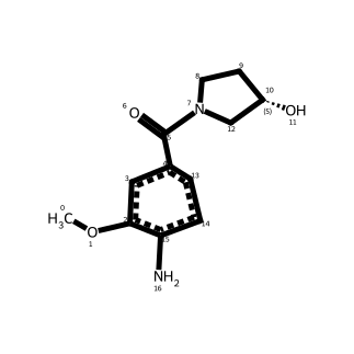 COc1cc(C(=O)N2CC[C@H](O)C2)ccc1N